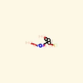 O=C(/C=C/C[C@]12CC[C@@](O)(C#CCl)C[C@@H]1CCc1cc(O)ccc12)N1CCN(CCOCCO)CC1